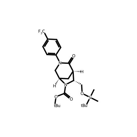 CC(C)(C)OC(=O)N1[C@@H]2C[C@@H](C(=O)N(c3ccc(C(F)(F)F)cc3)C2)[C@@H]1CO[Si](C)(C)C(C)(C)C